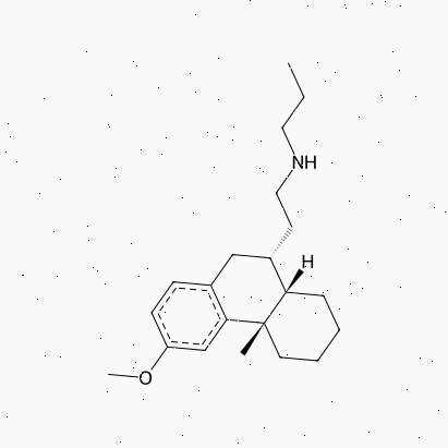 CCCNCC[C@H]1Cc2ccc(OC)cc2[C@@]2(C)CCCC[C@@H]12